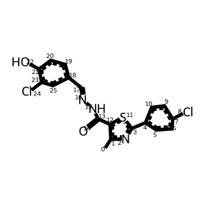 Cc1nc(-c2ccc(Cl)cc2)sc1C(=O)N/N=C/c1ccc(O)c(Cl)c1